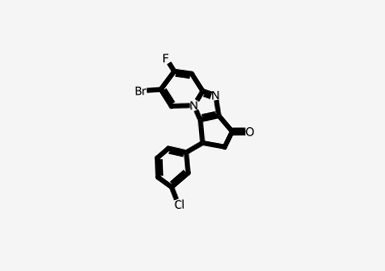 O=C1CC(c2cccc(Cl)c2)c2c1nc1cc(F)c(Br)cn21